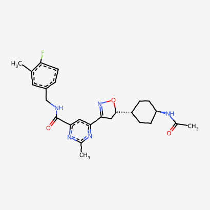 CC(=O)N[C@H]1CC[C@H](C2CC(c3cc(C(=O)NCc4ccc(F)c(C)c4)nc(C)n3)=NO2)CC1